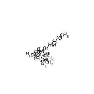 COCCCNCCON(C(=O)OC(C)(C)C)C(=O)OC(C)(C)C